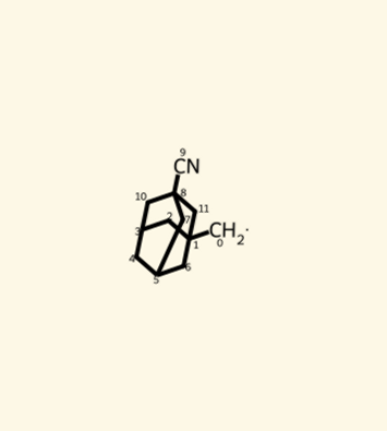 [CH2]C12CC3CC(C1)CC(C#N)(C3)C2